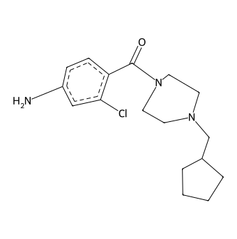 Nc1ccc(C(=O)N2CCN(CC3CCCC3)CC2)c(Cl)c1